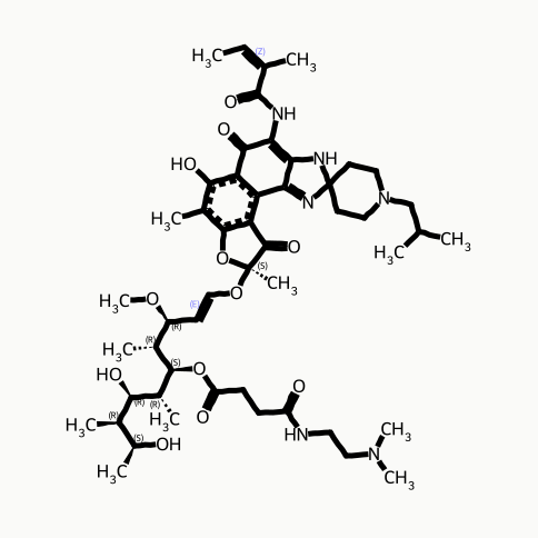 C/C=C(/C)C(=O)NC1=C2NC3(CCN(CC(C)C)CC3)N=C2c2c(c(O)c(C)c3c2C(=O)[C@@](C)(O/C=C/[C@H](OC)[C@@H](C)[C@@H](OC(=O)CCC(=O)NCCN(C)C)[C@H](C)[C@H](O)[C@H](C)[C@H](C)O)O3)C1=O